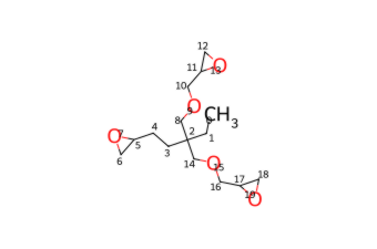 CCC(CCC1CO1)(COCC1CO1)COCC1CO1